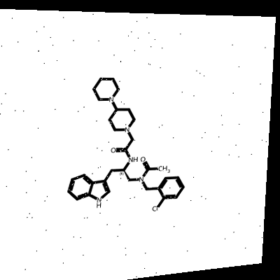 CC(=O)N(Cc1ccccc1Cl)C[C@@H](Cc1c[nH]c2ccccc12)NC(=O)CN1CCC(N2CCCCC2)CC1